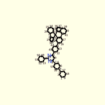 c1ccc(-c2ccc(-c3cc(-c4ccc(-c5ccc6c(c5)C5(c7ccccc7-c7ccccc75)c5cccc7cccc-6c57)cc4)nc(-c4ccccc4)n3)cc2)cc1